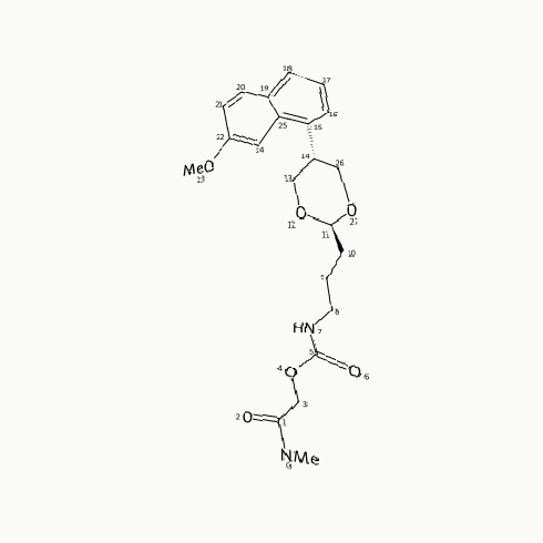 CNC(=O)COC(=O)NCCC[C@H]1OC[C@H](c2cccc3ccc(OC)cc32)CO1